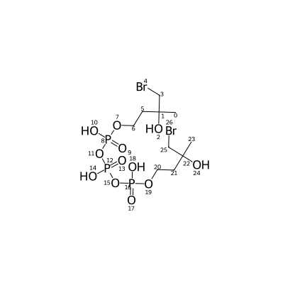 CC(O)(CBr)CCOP(=O)(O)OP(=O)(O)OP(=O)(O)OCCC(C)(O)CBr